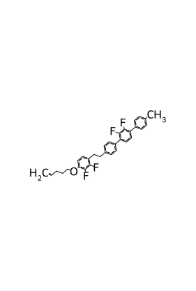 C=CCCCOc1ccc(CCc2ccc(-c3ccc(-c4ccc(C)cc4)c(F)c3F)cc2)c(F)c1F